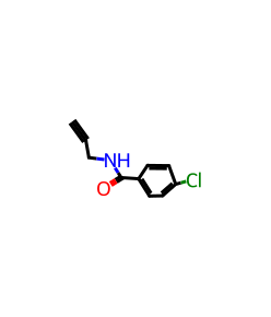 C#CCNC(=O)c1ccc(Cl)cc1